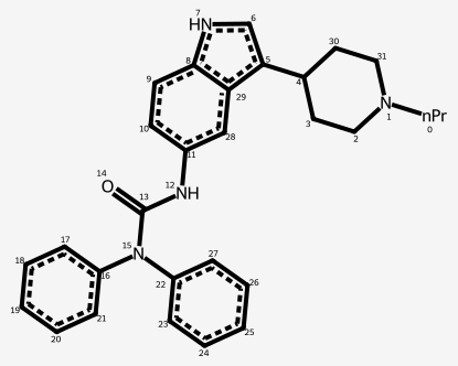 CCCN1CCC(c2c[nH]c3ccc(NC(=O)N(c4ccccc4)c4ccccc4)cc23)CC1